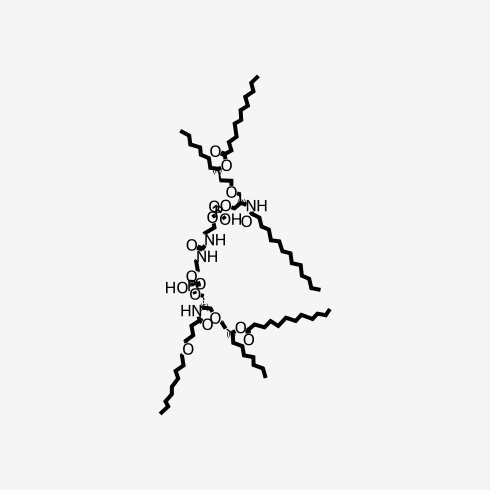 CCCCCCCCCCCCCC(=O)N[C@H](COCC[C@@H](CCCCCCC)OC(=O)CCCCCCCCCCC)COP(=O)(O)OCCNC(=O)NCCOP(=O)(O)OC[C@H](COCC[C@@H](CCCCCCC)OC(=O)CCCCCCCCCCC)NC(=O)CCCOCCCCCCCCC